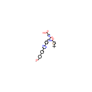 COCC1CCC(C2CC=C(c3cnc(-c4ccc(CC(NC(=O)c5ccc(C(C)(C)C)s5)C(=O)N5CC(C(=O)O)C5)cc4)nc3)CC2)CC1